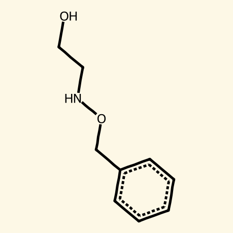 OCCNOCc1ccccc1